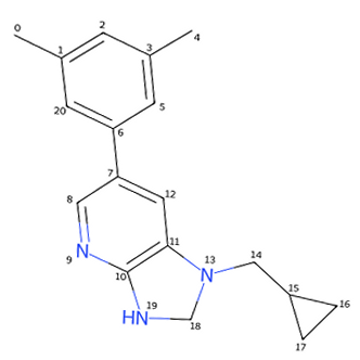 Cc1cc(C)cc(-c2cnc3c(c2)N(CC2CC2)CN3)c1